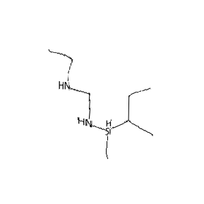 CCNCN[SiH](C)C(C)CC